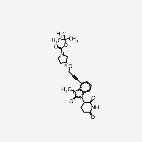 Cn1c(=O)n(C2CCC(=O)NC2=O)c2cccc(C#CCO[C@@H]3CCN(C(=O)OC(C)(C)C)C3)c21